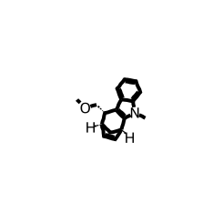 COC[C@@H]1c2c(n(C)c3ccccc23)[C@H]2C=C[C@@H]1C2